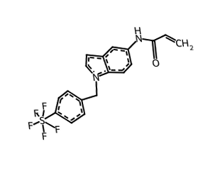 C=CC(=O)Nc1ccc2c(ccn2Cc2ccc(S(F)(F)(F)(F)F)cc2)c1